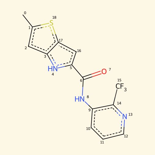 Cc1cc2[nH]c(C(=O)Nc3cccnc3C(F)(F)F)cc2s1